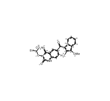 CCC(On1c(=O)[nH]c2ccc(C(=O)c3c(C)c(OC)c4ccccn34)cc2c1=O)C(=O)O